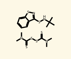 CC(C)(C)NSc1nsc2ccccc12.CN(C)C(=S)SSC(=S)N(C)C